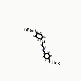 CCCCCCC1CCC(/C=C/COC2CCC(CCCCC)CC2)CC1